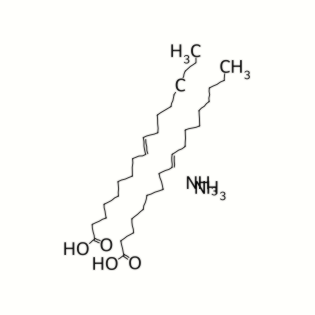 CCCCCCCCC=CCCCCCCCC(=O)O.CCCCCCCCC=CCCCCCCCC(=O)O.N.N